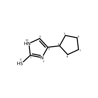 Sc1nc(C2CCCC2)c[nH]1